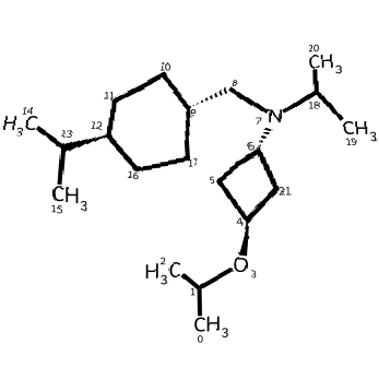 CC(C)O[C@H]1C[C@H](N(C[C@H]2CC[C@H](C(C)C)CC2)C(C)C)C1